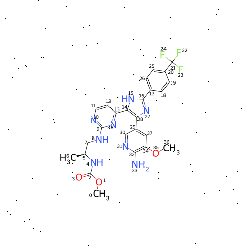 COC(=O)N[C@@H](C)CNc1nccc(-c2[nH]c(-c3ccc(C(F)(F)F)cc3)nc2-c2cnc(N)c(OC)c2)n1